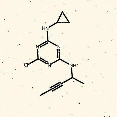 CC#CC(C)Nc1nc(Cl)nc(NC2CC2)n1